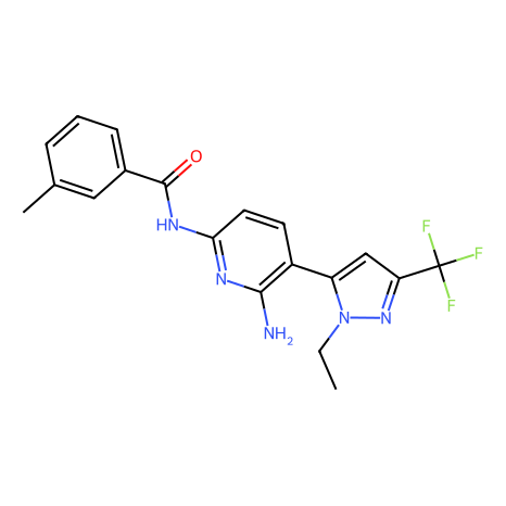 CCn1nc(C(F)(F)F)cc1-c1ccc(NC(=O)c2cccc(C)c2)nc1N